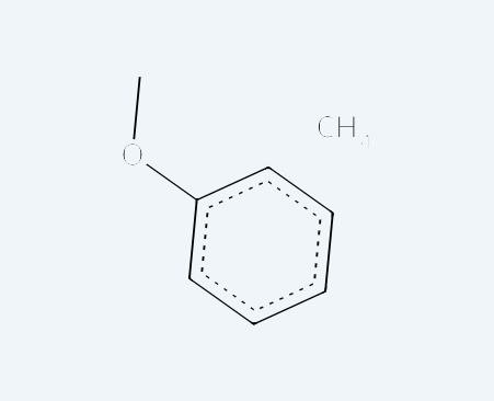 C.COc1ccccc1